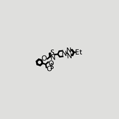 CCc1cnc(N2CCC(c3nc(COc4ccccc4C4COSOC4)cs3)CC2)nc1